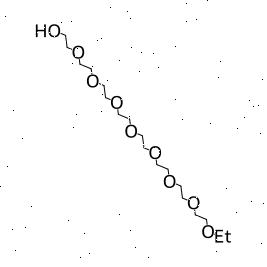 [CH2]COCCOCCOCCOCCOCCOCCOCCOCCO